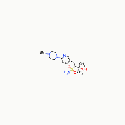 CC(C)(O)C(Cc1ccc(N2CCN(C(C)(C)C)CC2)nc1)S(N)(=O)=O